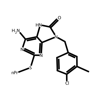 CCCSc1nc(N)c2[nH]c(=O)n(Cc3ccc(Cl)c(C)c3)c2n1